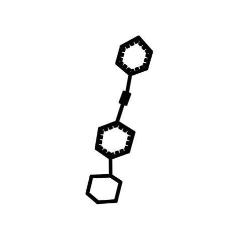 C(#Cc1ccc(C2CCCCC2)cc1)c1ccccc1